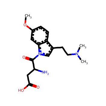 COc1ccc2c(CCN(C)C)cn(C(=O)C(N)CC(=O)O)c2c1